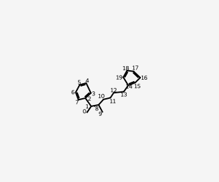 C[C](c1ccccc1)C(C)CCCCc1ccccc1